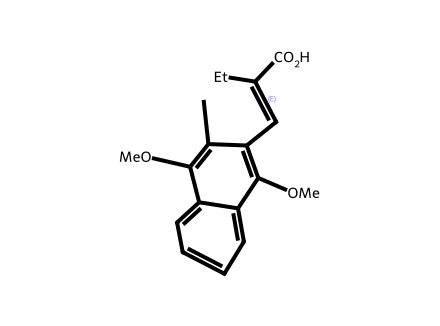 CC/C(=C\c1c(C)c(OC)c2ccccc2c1OC)C(=O)O